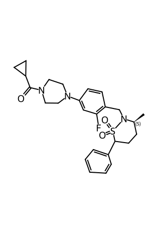 C[C@H]1CCC(c2ccccc2)S(=O)(=O)N1Cc1ccc(N2CCN(C(=O)C3CC3)CC2)cc1F